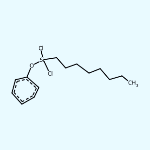 CCCCCCCC[Si](Cl)(Cl)Oc1ccccc1